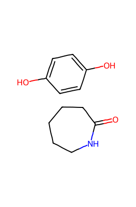 O=C1CCCCCN1.Oc1ccc(O)cc1